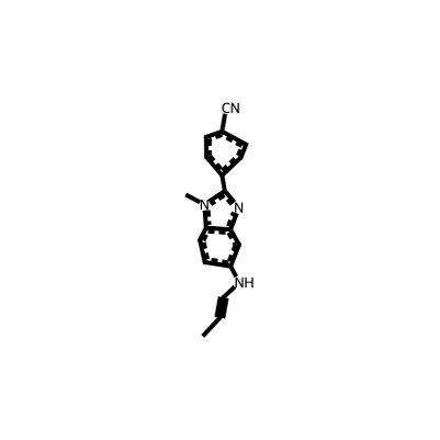 CC#CNc1ccc2c(c1)nc(-c1ccc(C#N)cc1)n2C